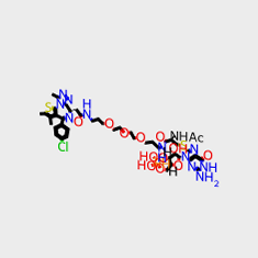 CC(=O)N[C@@H](CSc1nc2c(=O)[nH]c(N)nc2n1[C@@H]1O[C@@H]2CO[PH](O)(O)O[C@H]2[C@H]1O)C(=O)NCCCOCCOCCOCCCNC(=O)C[C@@H]1N=C(c2ccc(Cl)cc2)c2c(sc(C)c2C)-n2c(C)nnc21